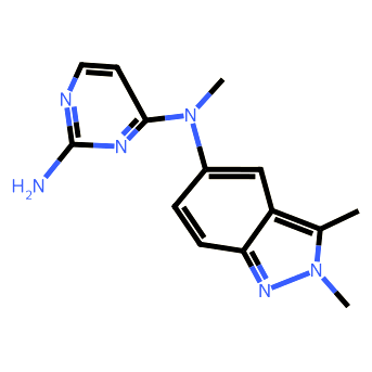 Cc1c2cc(N(C)c3ccnc(N)n3)ccc2nn1C